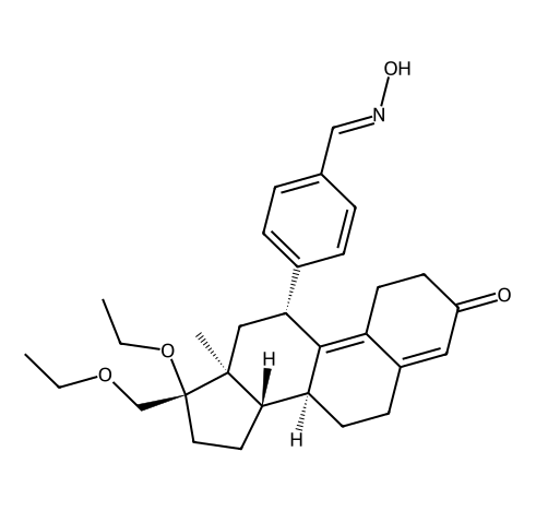 CCOC[C@]1(OCC)CC[C@H]2[C@@H]3CCC4=CC(=O)CCC4=C3[C@@H](c3ccc(C=NO)cc3)C[C@@]21C